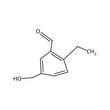 CCc1ccc(CO)cc1C=O